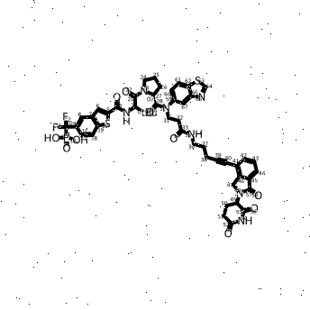 CC(C)(C)C(NC(=O)c1cc2cc(C(F)(F)P(=O)(O)O)ccc2s1)C(=O)N1CCC[C@H]1C(=O)N(CCC(=O)NCCCC#Cc1cccc2c1CN(C1CCC(=O)NC1=O)C2=O)c1ccc2scnc2c1